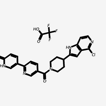 O=C(O)C(F)(F)F.O=C(c1ccc(-c2ccc(=O)[nH]c2)nc1)N1CCC(c2cc3c(Cl)nccc3[nH]2)CC1